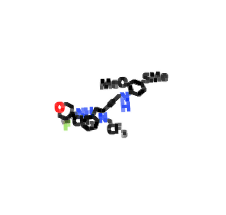 COc1cc(SC)ccc1NCC#Cc1cc2c(N[C@@]3(C)CCOC[C@H]3F)cccc2n1CC(F)(F)F